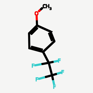 COc1[c]cc(C(F)(F)C(F)(F)F)cc1